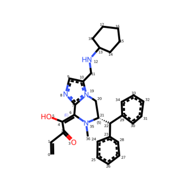 C=CC(=O)/C(O)=C1/c2ncc(CNC3CCCCC3)n2C[C@H](C(c2ccccc2)c2ccccc2)N1C